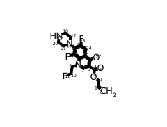 C=CCOC(=O)c1cn(CCF)c2c(F)c(N3CCNCC3)c(F)cc2c1=O